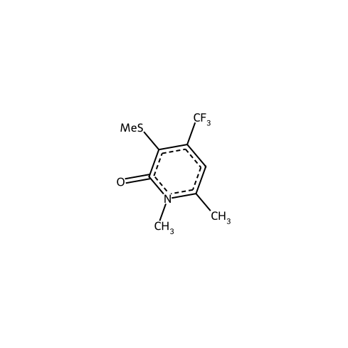 CSc1c(C(F)(F)F)cc(C)n(C)c1=O